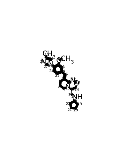 COc1cc(/C=C2\CCCN3C2=NOC[C@@H]3CNC2CCCC2)ccc1-n1cnc(C)c1